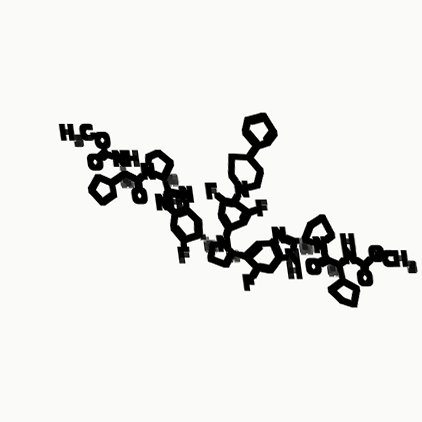 COC(=O)N[C@H](C(=O)N1CCC[C@H]1c1nc2cc([C@H]3CC[C@H](c4cc5nc([C@@H]6CCCN6C(=O)[C@@H](NC(=O)OC)C6CCCC6)[nH]c5cc4F)N3c3cc(F)c(N4CCC(c5ccccc5)CC4)c(F)c3)c(F)cc2[nH]1)C1CCCC1